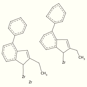 CCC1=Cc2c(-c3ccccc3)cccc2[CH]1[Zr].CCC1=Cc2c(-c3ccccc3)cccc2[CH]1[Zr].[Zr]